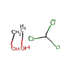 CO.CO.ClC(Cl)Cl